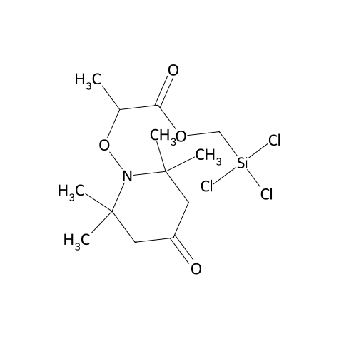 CC(ON1C(C)(C)CC(=O)CC1(C)C)C(=O)OC[Si](Cl)(Cl)Cl